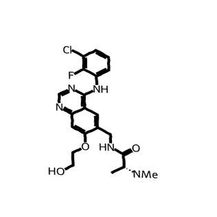 CN[C@H](C)C(=O)NCc1cc2c(Nc3cccc(Cl)c3F)ncnc2cc1OCCO